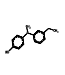 CCc1cccc(N(C)c2ccc(O)cc2)c1